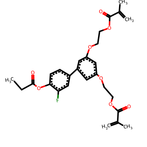 C=C(C)C(=O)OCCOc1cc(OCCOC(=O)C(=C)C)cc(-c2ccc(OC(=O)CC)c(F)c2)c1